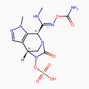 CN/C(=N\OC(N)=O)[C@@H]1c2c(cnn2C)[C@@H]2CN1C(=O)N2OS(=O)(=O)O